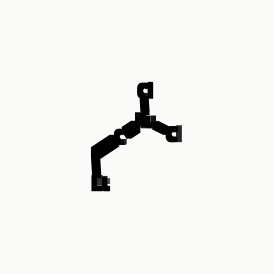 CCC=[C]=[Ru]([Cl])[Cl]